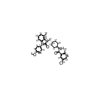 COc1ccc(-n2c(=O)n(C[C@H]3CC[C@H](NC(=O)c4cc(Cl)cnc4C)CC3)c3c(C)cccc32)cn1